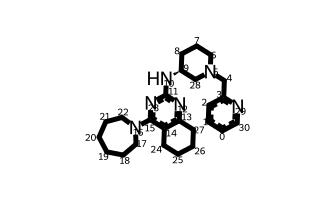 c1ccc(CN2CCC[C@@H](Nc3nc4c(c(N5CCCCCC5)n3)CCCC4)C2)nc1